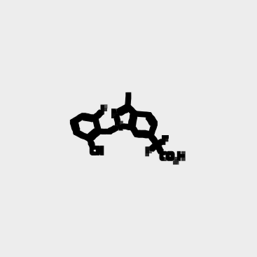 Cc1nn(Cc2c(F)cccc2C#N)c2cc(C(F)(F)C(=O)O)ccc12